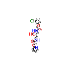 O=C(COc1cccc(Cl)c1)NC[C@@H](O)CCNC(=O)COc1ccccn1